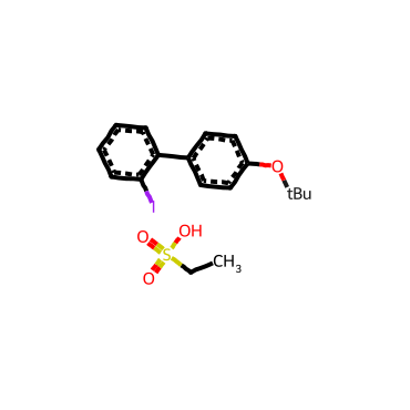 CC(C)(C)Oc1ccc(-c2ccccc2I)cc1.CCS(=O)(=O)O